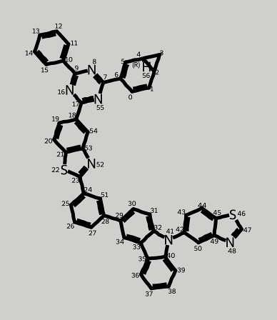 C1=CC2C[C@H]2C=C1c1nc(-c2ccccc2)nc(-c2ccc3sc(-c4cccc(-c5ccc6c(c5)c5ccccc5n6-c5ccc6scnc6c5)c4)nc3c2)n1